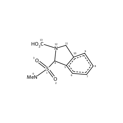 CNS(=O)(=O)C1c2ccccc2CN1C(=O)O